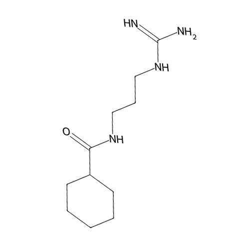 N=C(N)NCCCNC(=O)C1CCCCC1